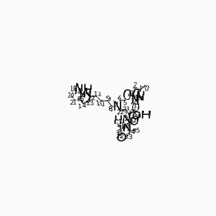 Cc1cc(OCCN(CCCCc2ccc3c(n2)NCCC3)CC[C@H](NC(=O)N2[C@H](C)COC[C@@H]2C)C(=O)O)n(C)n1